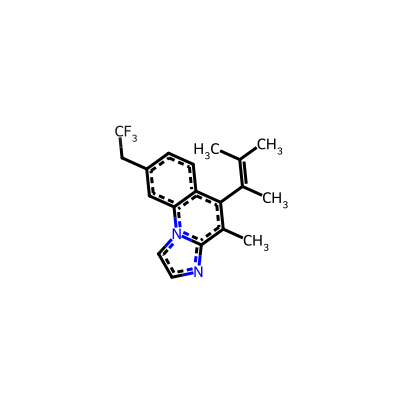 CC(C)=C(C)c1c(C)c2nccn2c2cc(CC(F)(F)F)ccc12